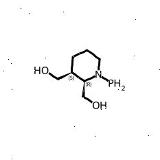 OC[C@H]1CCCN(P)[C@H]1CO